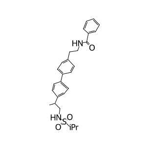 CC(CNS(=O)(=O)C(C)C)c1ccc(-c2ccc(CCNC(=O)c3ccccc3)cc2)cc1